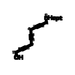 CCCCCCCCC#CCC#CCC#CCO